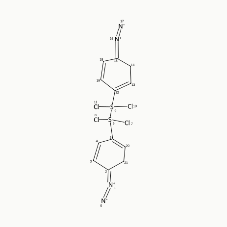 [N-]=[N+]=C1C=CC(S(Cl)(Cl)S(Cl)(Cl)C2=CCC(=[N+]=[N-])C=C2)=CC1